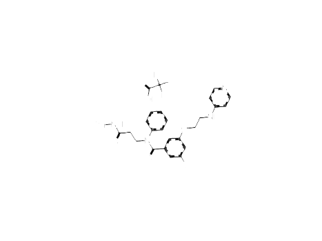 CC(C)(C)NC(=O)CCN(C(=O)c1cc(Cl)cc(OCCNc2ccncc2)c1)c1ccccc1.O=C(O)C(F)(F)F